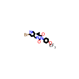 O=C1N(c2ccc(OC(F)(F)F)cc2)C(=O)C2(CC2)N1Cc1ccnc(Br)c1